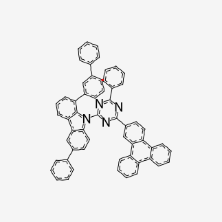 c1ccc(-c2cccc(-c3cccc4c5cc(-c6ccccc6)ccc5n(-c5nc(-c6ccccc6)nc(-c6ccc7c8ccccc8c8ccccc8c7c6)n5)c34)c2)cc1